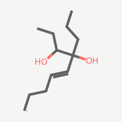 [CH2]CCC=CC(O)(CCC)C(O)CC